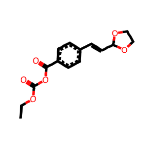 CCOC(=O)OC(=O)c1ccc(C=CC2OCCO2)cc1